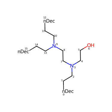 CCCCCCCCCCCCN(CCO)CCN(CCCCCCCCCCCC)CCCCCCCCCCCC